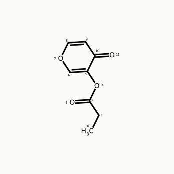 CCC(=O)Oc1coccc1=O